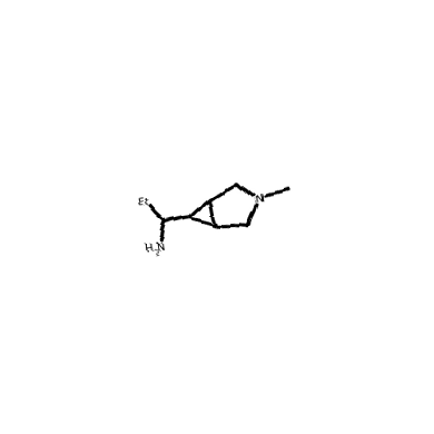 CCC(N)C1C2CN(C)CC21